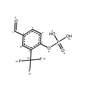 O=Cc1ccc(OP(=O)(O)O)c(C(F)(F)F)c1